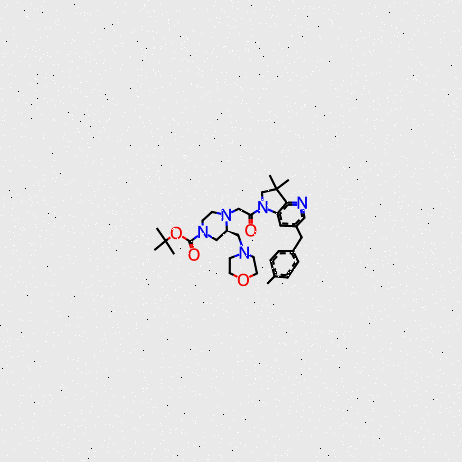 Cc1ccc(Cc2cnc3c(c2)N(C(=O)CN2CCN(C(=O)OC(C)(C)C)C[C@@H]2CN2CCOCC2)CC3(C)C)cc1